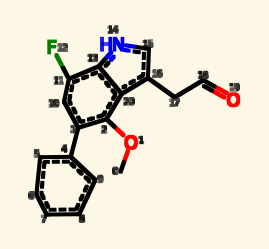 COc1c(-c2ccccc2)cc(F)c2[nH]cc(CC=O)c12